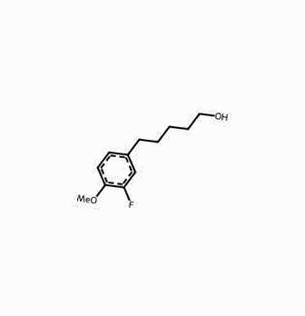 COc1ccc(CCCCCO)cc1F